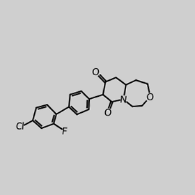 O=C1CC2CCOCCN2C(=O)C1c1ccc(-c2ccc(Cl)cc2F)cc1